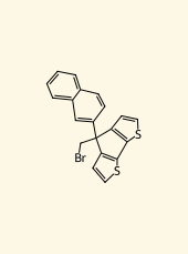 BrCC1(c2ccc3ccccc3c2)c2ccsc2-c2sccc21